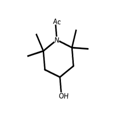 CC(=O)N1C(C)(C)CC(O)CC1(C)C